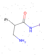 CC(C)C(CN)C(=O)NI